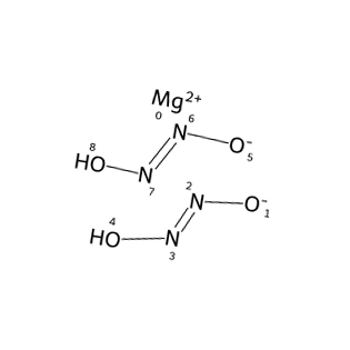 [Mg+2].[O-]N=NO.[O-]N=NO